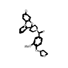 COc1cc(C(=O)N2CCC3(CC2)Oc2cc(Cl)ccc2-n2cccc23)ccc1O[C@H]1CCOC1